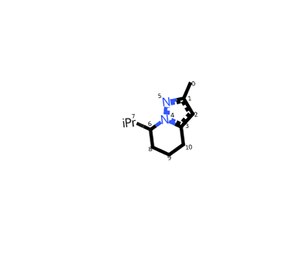 Cc1cc2n(n1)C(C(C)C)CCC2